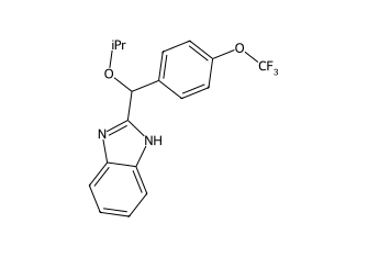 CC(C)OC(c1ccc(OC(F)(F)F)cc1)c1nc2ccccc2[nH]1